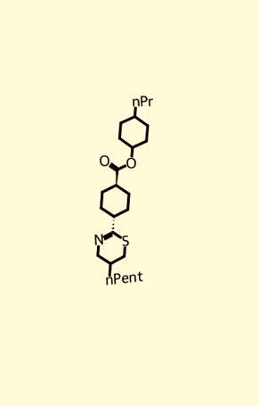 CCCCCC1CN=C([C@H]2CC[C@H](C(=O)OC3CCC(CCC)CC3)CC2)SC1